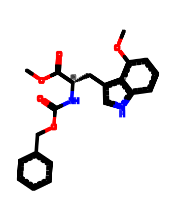 COC(=O)[C@H](Cc1c[nH]c2cccc(OC)c12)NC(=O)OCc1ccccc1